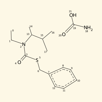 CCN(C(=O)SCc1ccccc1)C(C)C(C)C.NC(=O)O